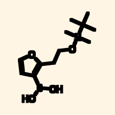 CC(C)(C)[Si](C)(C)OCCc1occc1B(O)O